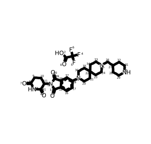 O=C(O)C(F)(F)F.O=C1CCC(N2C(=O)c3ccc(N4CCC5(CCN(CC6CCNCC6)CC5)CC4)cc3C2=O)C(=O)N1